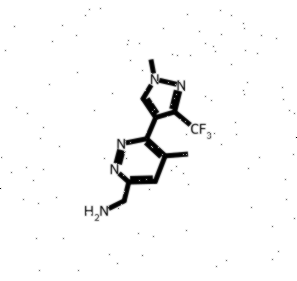 Cc1cc(CN)nnc1-c1cn(C)nc1C(F)(F)F